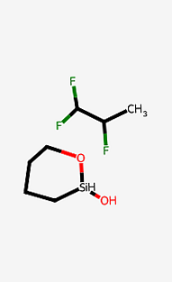 CC(F)C(F)F.O[SiH]1CCCCO1